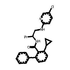 CC(C)C(CNc1ccc(Cl)cn1)NC(=O)c1c(-c2ccccc2)cccc1C1CC1